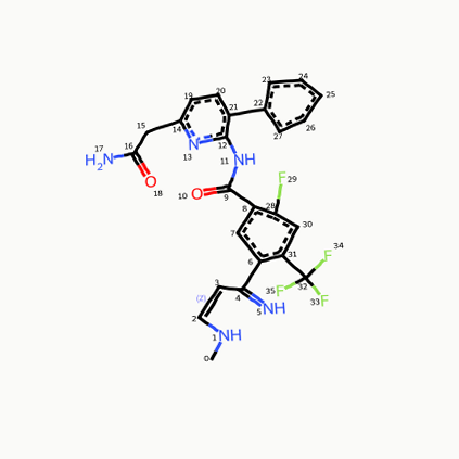 CN/C=C\C(=N)c1cc(C(=O)Nc2nc(CC(N)=O)ccc2-c2ccccc2)c(F)cc1C(F)(F)F